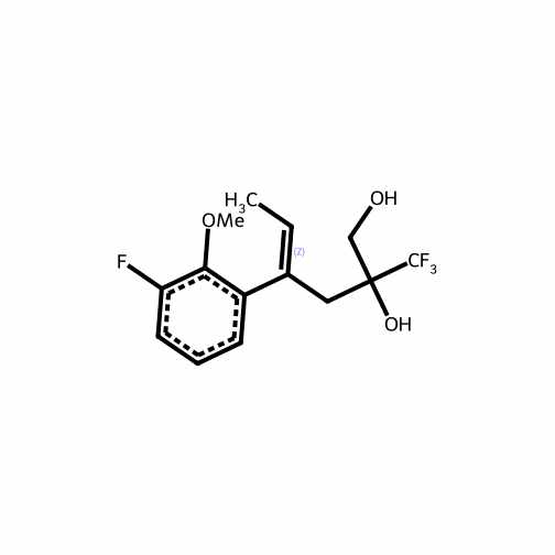 C/C=C(/CC(O)(CO)C(F)(F)F)c1cccc(F)c1OC